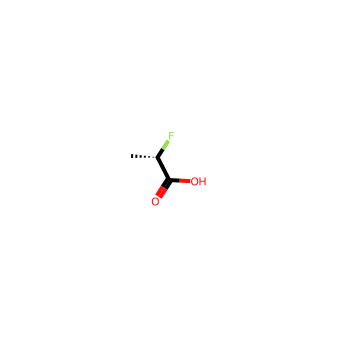 C[C@H](F)C(=O)O